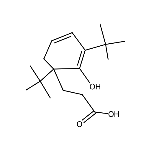 CC(C)(C)C1=C(O)C(CCC(=O)O)(C(C)(C)C)CC=C1